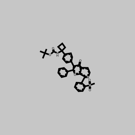 CC(C)(C)OC(=O)NC1(c2ccc(-c3c(-c4ccccc4)oc4c(-c5ccccc5S(C)(=O)=O)nccc4c3=O)cc2)CCC1